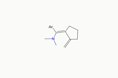 C=C1CCC/C1=C(\C(C)=O)N(C)C